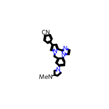 CN[C@@H]1CCN(c2ccc3c(c2)Cn2cc(-c4ccc(C#N)cc4)cc2-c2nccn2-3)C1